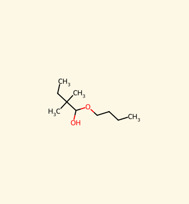 CCCCOC(O)C(C)(C)CC